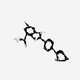 NC(=O)c1cc(F)cc2[nH]c(-c3ccc(-c4ccc[nH]4)cc3)nc12